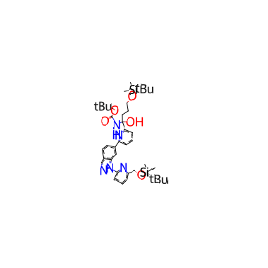 CC(C)(C)OC(=O)NC(O)(CCCO[Si](C)(C)C(C)(C)C)c1cccc(-c2ccc3cnn(-c4cccc(CO[Si](C)(C)C(C)(C)C)n4)c3c2)n1